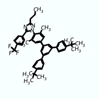 CCCc1nc(-c2ccc(C(F)(F)F)cc2)n(-c2c(C)cc(-c3cc(-c4ccc(C(C)(C)C)cc4)cc(-c4ccc(C(C)(C)C)cc4)c3)cc2C)n1